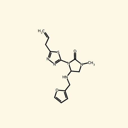 C=CCc1nnc(N2C(=O)N(C)CC2NCc2ccco2)s1